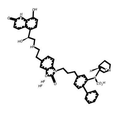 F.F.O=C(O)N(c1cc(CCCn2c(=O)oc3cc(CCNC[C@@H](O)c4ccc(O)c5[nH]c(=O)ccc45)ccc32)ccc1-c1ccccc1)[C@H]1CN2CCC1CC2